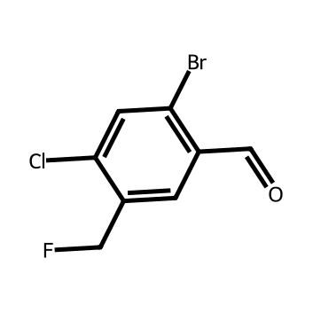 O=Cc1cc(CF)c(Cl)cc1Br